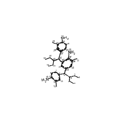 CCC(CC)C(c1ccc(N)c(C)c1)c1cc(C)c(N)c(C(c2ccc(N)c(C)c2)C(CC)CC)c1